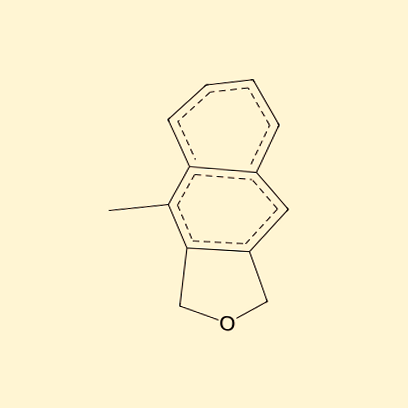 Cc1c2c(cc3ccccc13)COC2